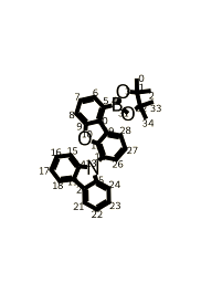 CC1(C)OB(c2cccc3oc4c(-n5c6ccccc6c6ccccc65)cccc4c23)OC1(C)C